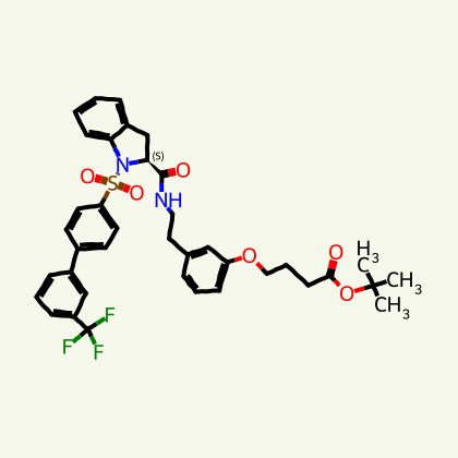 CC(C)(C)OC(=O)CCCOc1cccc(CCNC(=O)[C@@H]2Cc3ccccc3N2S(=O)(=O)c2ccc(-c3cccc(C(F)(F)F)c3)cc2)c1